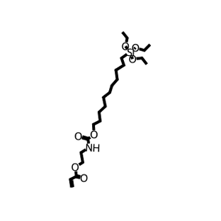 C=CC(=O)OCCNC(=O)OCCCCCCCCCCC[Si](OCC)(OCC)OCC